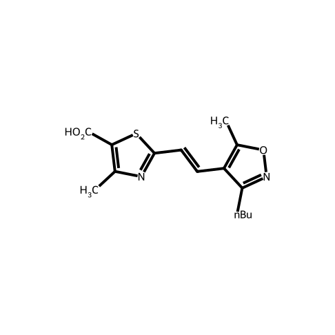 CCCCc1noc(C)c1C=Cc1nc(C)c(C(=O)O)s1